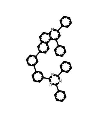 c1ccc(-c2cc(-c3ccccc3)c3c(ccc4cc(-c5cccc(-c6cccc(-c7nc(-c8ccccc8)nc(-c8ccccc8)n7)c6)c5)ccc43)n2)cc1